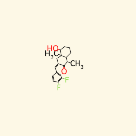 CC1C(=O)/C(=C\c2ccc(F)c(F)c2)C[C@@]2(C)C1CCC[C@@H]2O